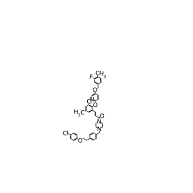 Cc1cc(Cl)c(Oc2ccc(OCc3ccc(C)c(F)c3)cn2)c(C=CC(=O)N2CCN(Cc3ccc(CCOc4ccc(Cl)cc4)cc3)CC2)c1